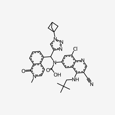 Cn1ccc2c(C(c3cn(C45CC(C4)C5)nn3)N(C(=O)O)c3cc(Cl)c4ncc(C#N)c(NCC(C)(C)C)c4c3)cccc2c1=O